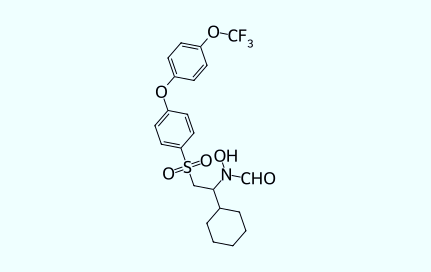 O=CN(O)C(CS(=O)(=O)c1ccc(Oc2ccc(OC(F)(F)F)cc2)cc1)C1CCCCC1